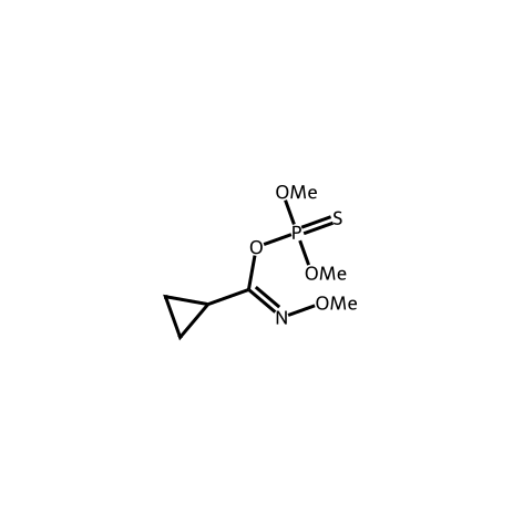 CON=C(OP(=S)(OC)OC)C1CC1